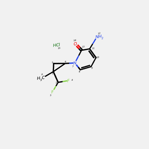 CC1(C(F)F)CC1n1cccc(N)c1=O.Cl